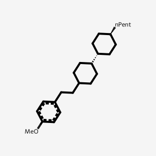 CCCCC[C@H]1CC[C@H](C2CCC(CCc3ccc(OC)cc3)CC2)CC1